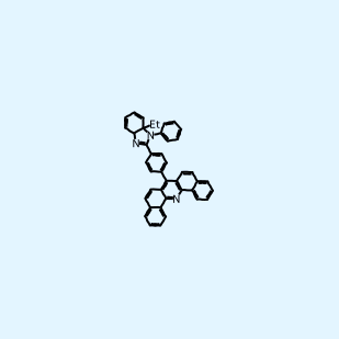 CCC12C=CC=CC1N=C(c1ccc(-c3c4ccc5ccccc5c4nc4c3ccc3ccccc34)cc1)N2c1ccccc1